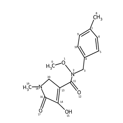 CON(Cc1ccc(C)cc1)C(=O)C1=C(O)C(=O)N(C)C1